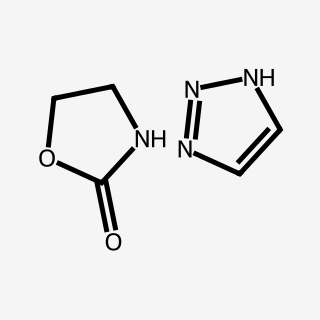 O=C1NCCO1.c1c[nH]nn1